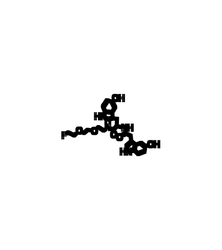 O=C(Cc1c[nH]c2ccc(O)cc12)NC(Cc1c[nH]c2ccc(O)cc12)C(=O)NCCOCCOCCF